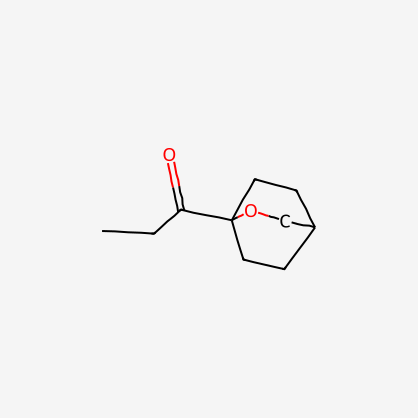 CCC(=O)C12CCC(CC1)CO2